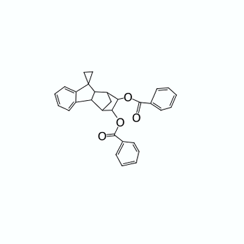 O=C(OC1C2CC(C1OC(=O)c1ccccc1)C1C2c2ccccc2C12CC2)c1ccccc1